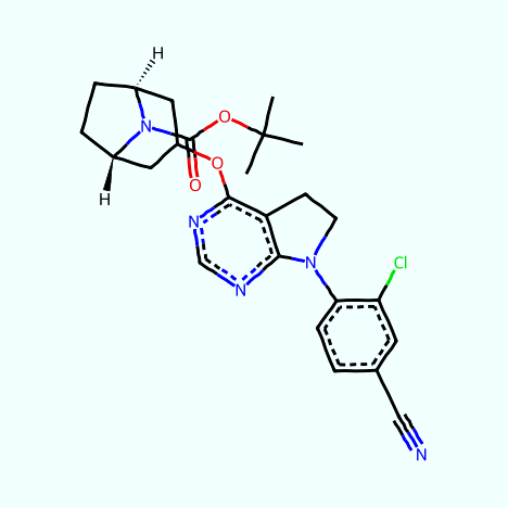 CC(C)(C)OC(=O)N1[C@H]2CC[C@H]1CC(Oc1ncnc3c1CCN3c1ccc(C#N)cc1Cl)C2